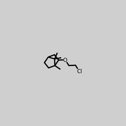 CC1(C)C2CCC1(C)C(OCCCl)C2